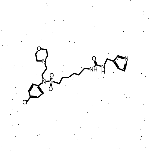 O=C(NCCCCCCS(=O)(=O)N(CCN1CCOCC1)c1ccc(Cl)cc1)NCc1cccnc1